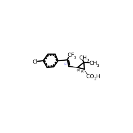 CC1(C)[C@H](/C=C(/c2ccc(Cl)cc2)C(F)(F)F)[C@H]1C(=O)O